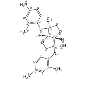 Cc1cc(N)ccc1O[C@@]1(O)CO[C@H]2[C@@H]1OC[C@]2(O)Oc1ccc(N)cc1C